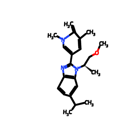 C=C1C(C)=CC(c2nc3ccc(C(C)C)cc3n2[C@@H](C)COC)=CN1C